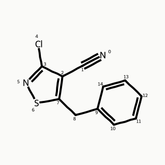 N#Cc1c(Cl)nsc1Cc1ccccc1